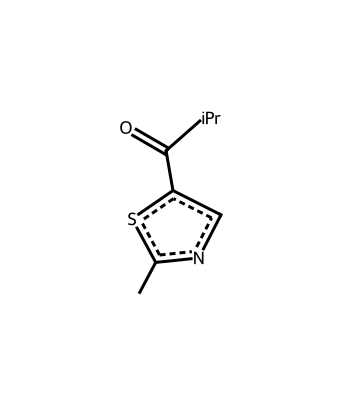 Cc1ncc(C(=O)C(C)C)s1